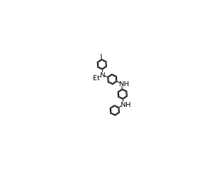 CCN(c1ccc(C)cc1)c1ccc(Nc2ccc(Nc3ccccc3)cc2)cc1